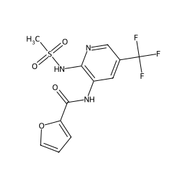 CS(=O)(=O)Nc1ncc(C(F)(F)F)cc1NC(=O)c1ccco1